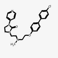 CN(CCOc1ccc(-c2ccc(Cl)cc2)cc1)CCN1CCN(c2ccncc2)C1=O